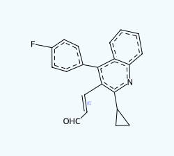 O=C/C=C/c1c(C2CC2)nc2ccccc2c1-c1ccc(F)cc1